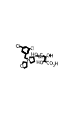 NC[C@@H]1CC[N+](Cc2cc(Cl)cc(Cl)c2)([C@@H]2CCOC2)C1.O=C(O)C(O)C(O)C(=O)O